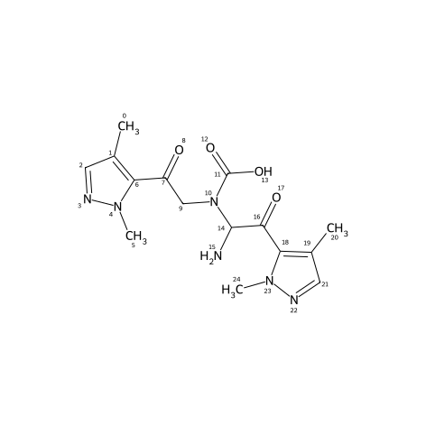 Cc1cnn(C)c1C(=O)CN(C(=O)O)C(N)C(=O)c1c(C)cnn1C